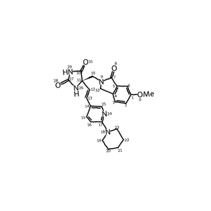 COc1ccc2c(c1)C(=O)N(C[C@@]1(C=Cc3ccc(N4CCCCC4)nc3)NC(=O)NC1=O)C2